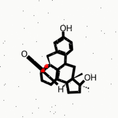 C[C@]1(O)CC[C@H]2C3=C4C(C[C@@]21C)c1ccc(O)cc1C[C@@]41CCC(=O)C=C1CC3